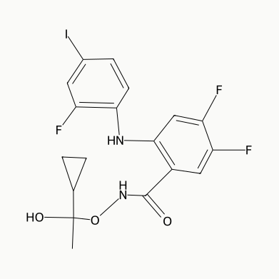 CC(O)(ONC(=O)c1cc(F)c(F)cc1Nc1ccc(I)cc1F)C1CC1